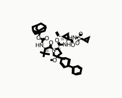 C=C[C@@H]1C[C@@]1(NC(=O)[C@@H]1C[C@@](OC)(c2ccc(-c3ccccc3)cc2)CN1C(=O)[C@@H](NC(=O)OC12CC3CC(CC(C3)C1)C2)C(C)(C)C)C(=O)NS(=O)(=O)C1CC1